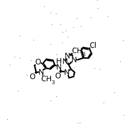 Cc1nnc(C2CCCN2C(=O)Nc2ccc3c(c2)N(C)C(=O)CO3)n1Cc1ccc(Cl)cc1